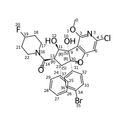 COc1nc(Cl)cc2c1[C@]1(O)[C@H](O)[C@H](C(=O)N3CCC(F)CC3)[C@@H](c3ccccc3)[C@]1(c1ccc(Br)cc1)O2